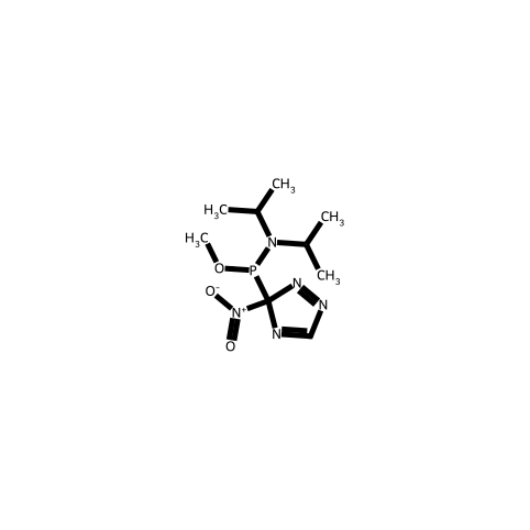 COP(N(C(C)C)C(C)C)C1([N+](=O)[O-])N=CN=N1